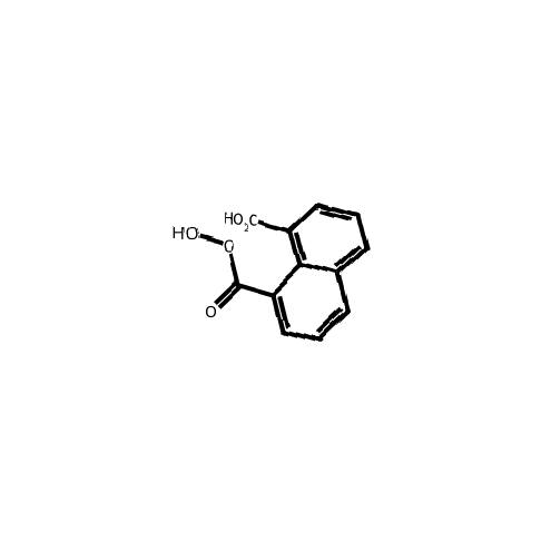 O=C(O)c1cccc2cccc(C(=O)OO)c12